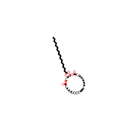 CCCCCCCC/C=C/CCCCCCCC(=O)OC1COC(=O)CCCCCCC/C=C\CCCCCCCC(=O)OC1